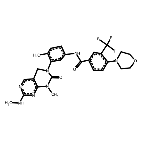 CNc1ncc2c(n1)N(C)C(=O)N(c1cc(NC(=O)c3ccc(N4CCOCC4)c(C(F)(F)F)c3)ccc1C)C2